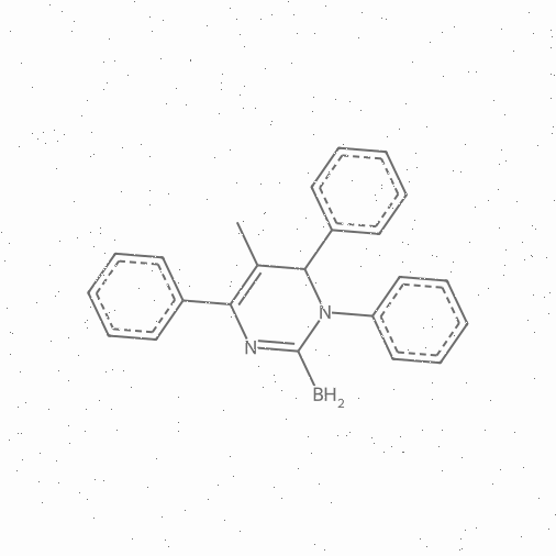 BC1=NC(c2ccccc2)=C(C)C(c2ccccc2)N1c1ccccc1